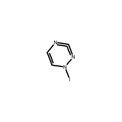 IN1C=CN=C=N1